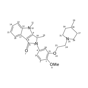 COc1ccc(N2C(=O)c3c(n(C)c4ccccc34)C2C)cc1OCCN1CCC(C)CC1